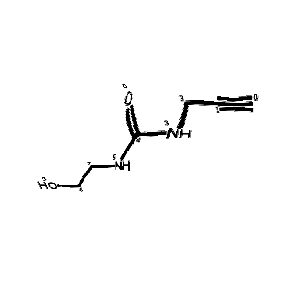 C#CCNC(=O)NCCO